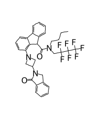 CCCCN(CC(F)(F)C(F)(F)C(F)(F)F)C(=O)C1c2ccccc2-c2cccc(N3CC(N4Cc5ccccc5C4=O)C3)c21